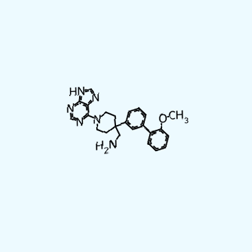 COc1ccccc1-c1cccc(C2(CN)CCN(c3ncnc4[nH]cnc34)CC2)c1